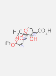 CC(C)OC(=O)/C=C\C=C\[C@]1([C@H](C)O)OCC/C(=C\C(=O)O)[C@@H]1O